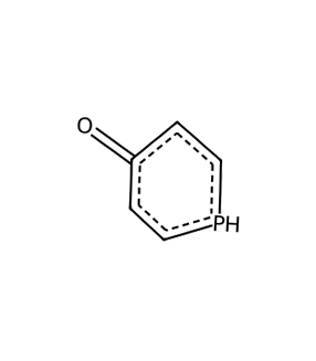 O=c1cc[pH]cc1